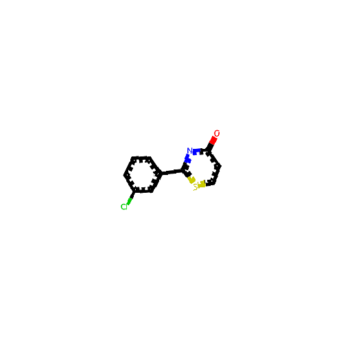 O=c1ccsc(-c2cccc(Cl)c2)n1